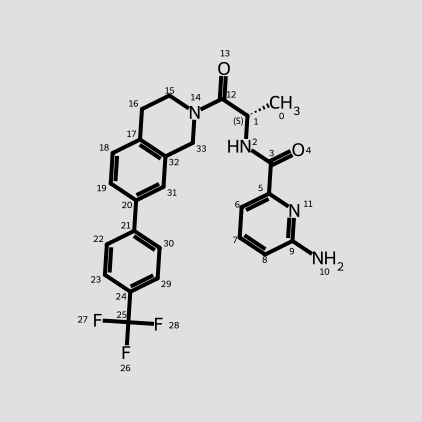 C[C@H](NC(=O)c1cccc(N)n1)C(=O)N1CCc2ccc(-c3ccc(C(F)(F)F)cc3)cc2C1